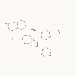 CNC(C)C(=O)Nc1ccc(-c2c(-c3cnc(C)nc3)nc3cc(C)ccn23)c(C#Cc2ccc3c(ccc(=O)n3C)c2)n1